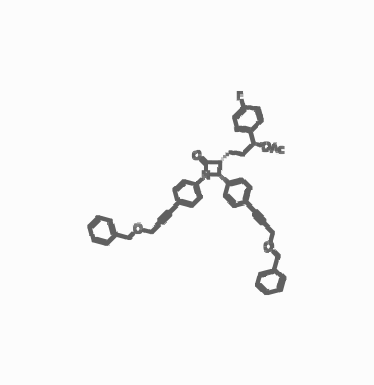 CC(=O)O[C@@H](CC[C@H]1C(=O)N(c2ccc(C#CCOCc3ccccc3)cc2)[C@@H]1c1ccc(C#CCOCc2ccccc2)cc1)c1ccc(F)cc1